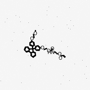 C=CC(=O)OCCNC(=O)OCCOc1ccc(C2(c3ccc(OCCOC)cc3)c3ccccc3-c3ccccc32)cc1